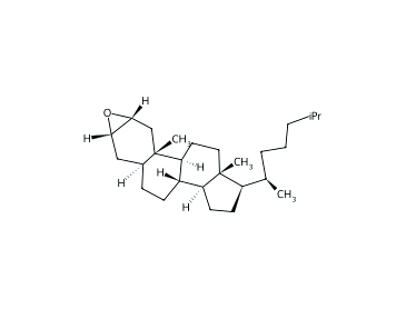 CC(C)CCC[C@@H](C)[C@H]1CC[C@H]2[C@@H]3CC[C@H]4C[C@@H]5O[C@@H]5C[C@]4(C)[C@H]3CC[C@]12C